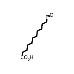 O=PCCCCCCCCCCC(=O)O